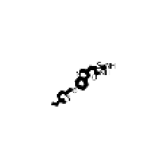 CCc1ccc(COc2ccc3cc(CC4SC(=N)NC4=O)cnc3c2)nc1